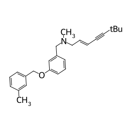 Cc1cccc(COc2cccc(CN(C)CC=CC#CC(C)(C)C)c2)c1